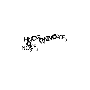 O=[N+]([O-])c1ccc(N[C@H]2CC[C@H](Oc3ccnc(N4CCN(c5ccc(SC(F)(F)F)cc5)CC4)c3)CC2)cc1C(F)(F)F